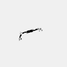 CCOC#CN